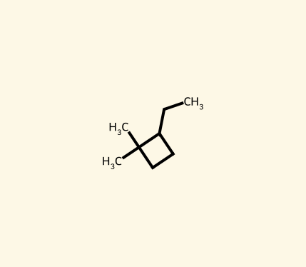 CC[C]1CCC1(C)C